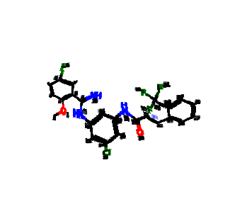 COc1ccc(F)cc1C(=N)Nc1cc(Cl)cc(NC(=O)/C=C/c2ccccc2C(F)(F)F)c1